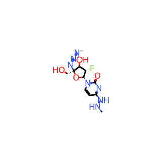 CNNc1ccn([C@@H]2O[C@@](CO)(N=[N+]=[N-])C(O)[C@@H]2F)c(=O)n1